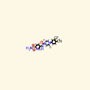 C[C@@H]1CN(c2ccc(C#N)c(C(F)(F)F)c2)[C@@H](C)CN1C(=O)Nc1ccc(S(N)(=O)=O)nc1